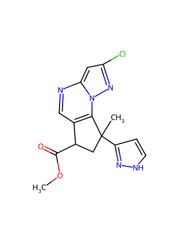 COC(=O)C1CC(C)(c2cc[nH]n2)c2c1cnc1cc(Cl)nn21